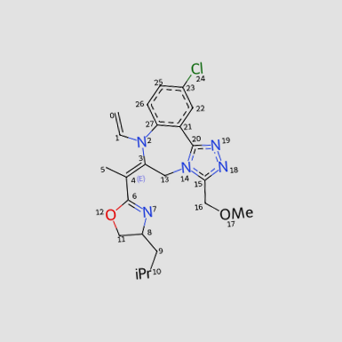 C=CN1/C(=C(\C)C2=NC(CC(C)C)CO2)Cn2c(COC)nnc2-c2cc(Cl)ccc21